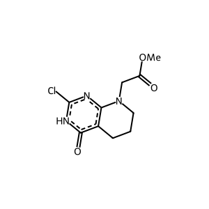 COC(=O)CN1CCCc2c1nc(Cl)[nH]c2=O